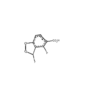 O=C(O)c1ccc2c(c1F)C(F)OO2